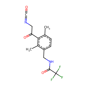 Cc1ccc(CNC(=O)C(F)(F)F)c(C)c1C(=O)CN=C=O